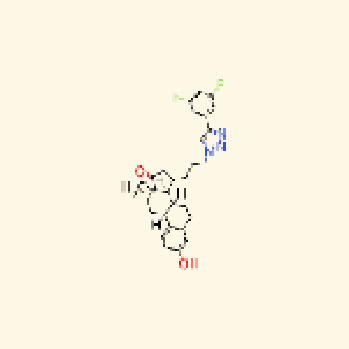 C[C@]12CC[C@@H]3c4ccc(O)cc4CC[C@H]3[C@@H]1[C@H](CCCn1cc(-c3cc(F)cc(F)c3)nn1)CC2=O